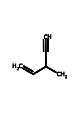 C#CC(C)C=C